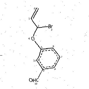 C=CC(Br)Oc1cccc(C=O)c1